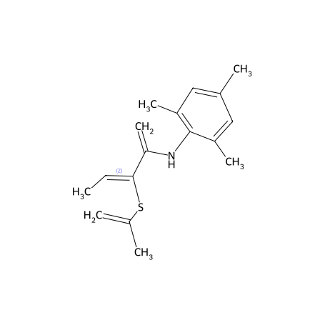 C=C(C)S/C(=C\C)C(=C)Nc1c(C)cc(C)cc1C